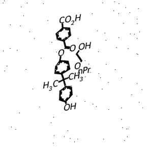 CC(C)(c1ccc(O)cc1)c1ccc(OC(=O)c2ccc(C(=O)O)cc2)cc1.CCCOCCO